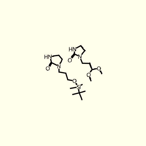 CC(C)(C)[Si](C)(C)OCCCN1CCNC1=O.COC(CCN1CCNC1=O)OC